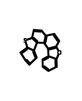 c1ccc2c(c1)oc1ccc3ccc4sc5ccccc5c4c3c12